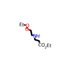 CCOOCCNCCC(=O)OCC